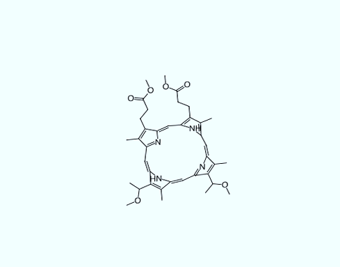 COC(=O)CCC1=C(C)c2cc3[nH]c(cc4nc(cc5[nH]c(cc1n2)c(CCC(=O)OC)c5C)C(C)=C4C(C)OC)c(C)c3C(C)OC